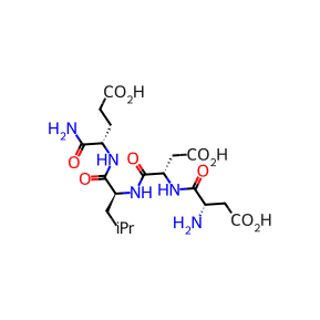 CC(C)C[C@H](NC(=O)[C@H](CC(=O)O)NC(=O)[C@@H](N)CC(=O)O)C(=O)N[C@@H](CCC(=O)O)C(N)=O